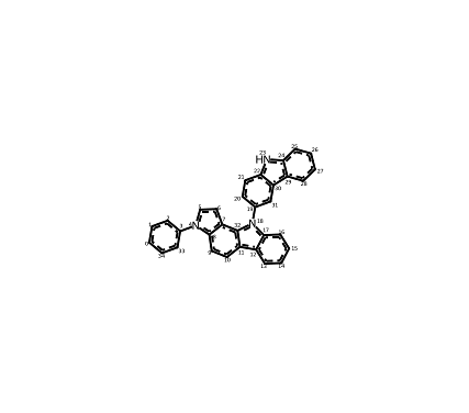 c1ccc(-n2ccc3c2ccc2c4ccccc4n(-c4ccc5[nH]c6ccccc6c5c4)c23)cc1